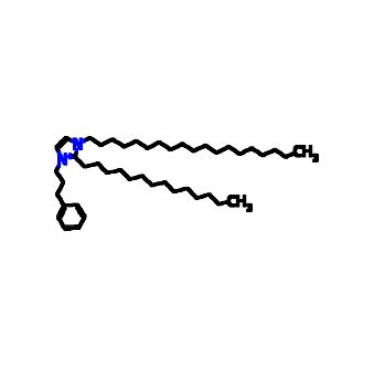 CCCCCCCCCCCCCCCCCCCn1cc[n+](CCCc2ccccc2)c1CCCCCCCCCCCCCC